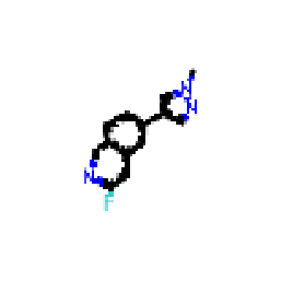 Cn1cc(-c2ccc3cnc(F)cc3c2)cn1